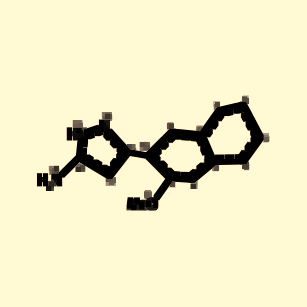 COc1cc2ccccc2cc1-c1cc(N)[nH]n1